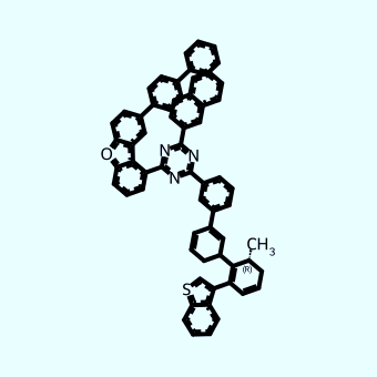 C[C@@H]1CC=CC(c2csc3ccccc23)=C1C1C=C(c2cccc(-c3nc(-c4ccc5ccccc5c4)nc(-c4cccc5oc6ccc(-c7ccc(-c8ccccc8)cc7)cc6c45)n3)c2)C=CC1